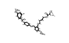 C=C(C)C(=O)OCCCCOc1cc(OCCCC)ccc1N=Nc1ccc(OC(=O)c2ccc(OCCCC)cc2)cc1